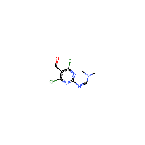 CN(C)/C=N\c1nc(Cl)c(C=O)c(Cl)n1